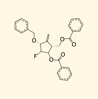 C=C1[C@@H](OCc2ccccc2)C(F)C(OC(=O)c2ccccc2)[C@H]1COC(=O)c1ccccc1